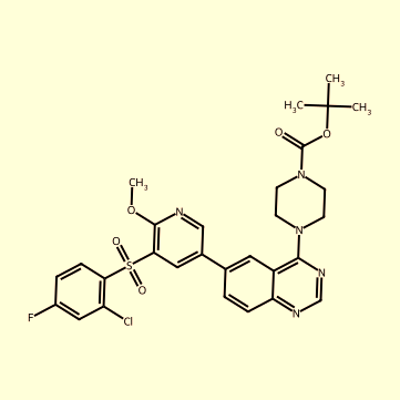 COc1ncc(-c2ccc3ncnc(N4CCN(C(=O)OC(C)(C)C)CC4)c3c2)cc1S(=O)(=O)c1ccc(F)cc1Cl